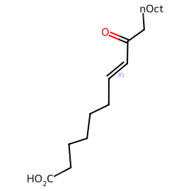 CCCCCCCCCC(=O)/C=C/CCCCCC(=O)O